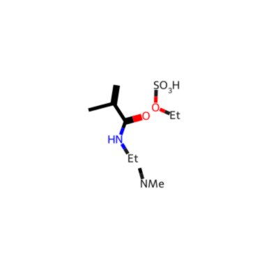 C=C(C)C(=O)NCC.CCOS(=O)(=O)O.CNC